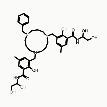 Cc1cc(CN2CCCN(Cc3ccccc3)CCCN(Cc3cc(C)cc(C(=O)NC(O)CO)c3O)CCC2)c(O)c(C(=O)NC(O)CO)c1